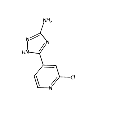 Nc1n[nH]c(-c2ccnc(Cl)c2)n1